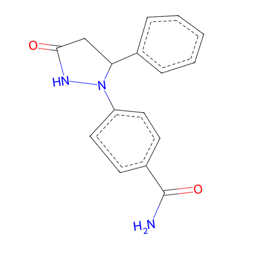 NC(=O)c1ccc(N2NC(=O)CC2c2ccccc2)cc1